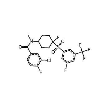 CN(C(=O)c1ccc(F)c(Cl)c1)C1CCC(F)(S(=O)(=O)c2cc(F)cc(C(F)(F)F)c2)CC1